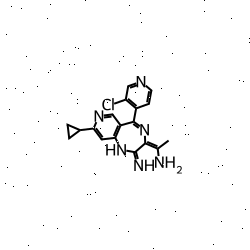 C/C(N)=C1\N=C(c2ccncc2Cl)c2cnc(C3CC3)cc2NC1=N